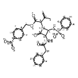 C=C(C)C(C(=O)OCc1ccc([N+](=O)[O-])cc1)N1C(=O)C(NC(=O)Cc2ccccc2)C1SS(=O)(=O)c1ccccc1